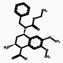 CCOC(=O)N(Cc1ccccc1)[C@H]1C[C@@H](C)N(C(=O)Cl)c2cc(OC)c(OC)cc21